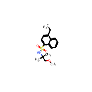 CCc1ccc(S(=O)(=O)NC(C)(C)COC)c2ccccc12